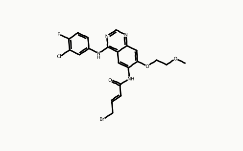 COCCOc1cc2ncnc(Nc3ccc(F)c(Cl)c3)c2cc1NC(=O)C=CCBr